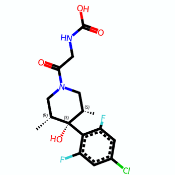 C[C@@H]1CN(C(=O)CNC(=O)O)C[C@H](C)[C@@]1(O)c1c(F)cc(Cl)cc1F